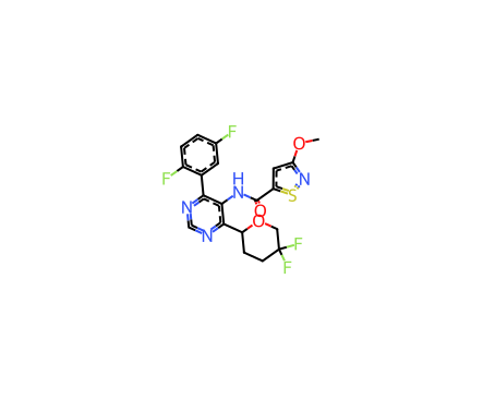 COc1cc(C(=O)Nc2c(-c3cc(F)ccc3F)ncnc2C2CCC(F)(F)CO2)sn1